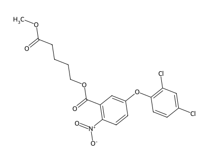 COC(=O)CCCCOC(=O)c1cc(Oc2ccc(Cl)cc2Cl)ccc1[N+](=O)[O-]